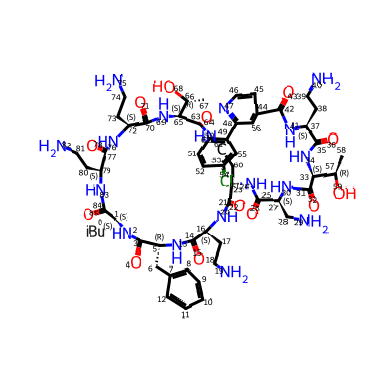 CC[C@H](C)[C@@H]1NC(=O)[C@@H](Cc2ccccc2)NC(=O)[C@H](CCN)NC(=O)[C@@H](NC(=O)[C@H](CN)NC(=O)[C@@H](NC(=O)[C@H](CCN)NC(=O)c2ccnc(-c3cccc(Cl)c3)c2)[C@@H](C)O)CCNC(=O)[C@H]([C@@H](C)O)NC(=O)[C@H](CCN)NC(=O)[C@H](CCN)NC1=O